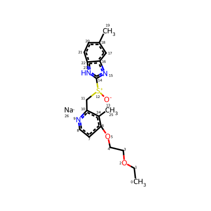 CCOCCOc1ccnc(C[S+]([O-])c2nc3cc(C)ccc3[nH]2)c1C.[Na]